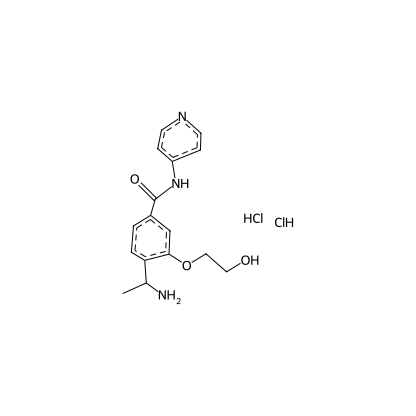 CC(N)c1ccc(C(=O)Nc2ccncc2)cc1OCCO.Cl.Cl